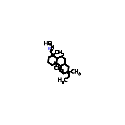 CC[C@@]1(C)CC=C2C(CCC3[C@@]2(C)CCC[C@@]3(C)/C=N/O)C1